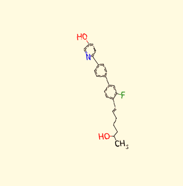 CC(O)CCCC=Cc1ccc(-c2ccc(-c3ccc(O)cn3)cc2)cc1F